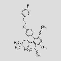 CC#Cc1nc(C)c(C(OC(C)(C)C)C(=O)O)c(N2CCC(C)(C)CC2)c1-c1ccc(OCCc2ccc(F)cc2)cc1